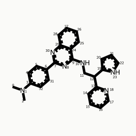 CN(C)c1ccc(-c2nc(NCC(c3ccccn3)c3ccc[nH]3)c3ccccc3n2)cc1